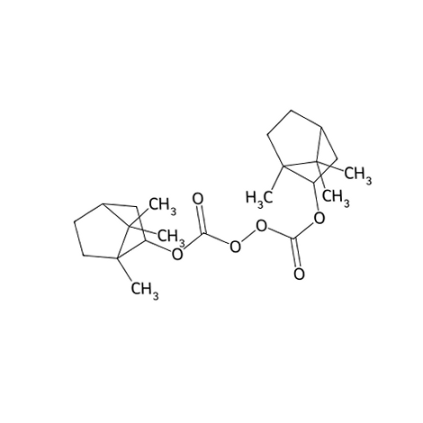 CC1(C)C2CCC1(C)C(OC(=O)OOC(=O)OC1CC3CCC1(C)C3(C)C)C2